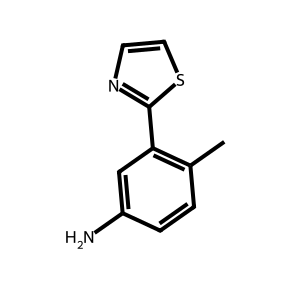 Cc1ccc(N)cc1-c1nccs1